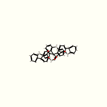 c1ccc2c(c1)Oc1cccc(-c3cccc4c3oc3ccccc34)c1C21c2ccccc2Oc2cccc(-c3cccc4c3oc3ccccc34)c21